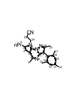 CCCc1cc2c(C)nc3c(-c4c(C)cc(C)cc4C)c(C)nn3c2n1CCC#N